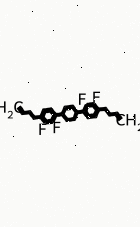 C=CCCc1ccc(C2C=CC(c3ccc(CCC=C)c(F)c3F)CC2)c(F)c1F